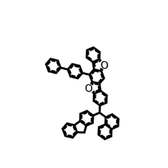 c1ccc(-c2ccc(-c3c4oc5cc(C(c6ccc7c(c6)Cc6ccccc6-7)c6cccc7ccccc67)ccc5c4cc4oc5ccccc5c34)cc2)cc1